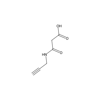 C#CCNC(=O)CC(=O)O